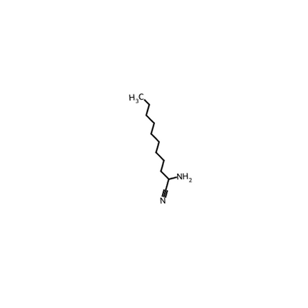 CCCCCCCCCC(N)C#N